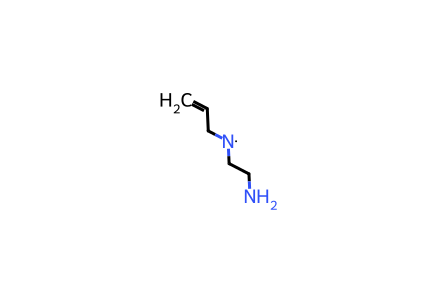 C=CC[N]CCN